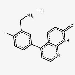 Cl.NCc1cc(-c2ccnc3[nH]c(=O)ccc23)ccc1F